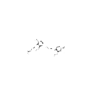 CCCc1c(SCCCOc2ccc(C(C)O)c(OCCCC(=O)O)c2CCC)ccc(C(C)=O)c1O